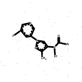 CCN(C(=O)C(C)C)c1cn(-c2cncc(F)c2)nc1C